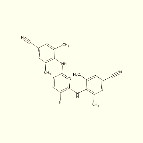 Cc1cc(C#N)cc(C)c1Nc1ccc(F)c(Nc2c(C)cc(C#N)cc2C)n1